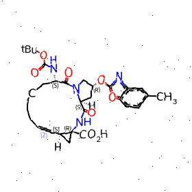 Cc1ccc2oc(O[C@@H]3C[C@H]4C(=O)N[C@]5(C(=O)O)C[C@H]5/C=C\CCCCC[C@H](NC(=O)OC(C)(C)C)C(=O)N4C3)nc2c1